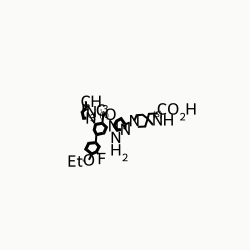 CCOc1ccc(-c2ccc([C@@H](Oc3cc(N4CCC5(CC4)CN[C@H](C(=O)O)C5)nc(N)n3)C(F)(F)F)c(-n3ccc(C)n3)c2)cc1F